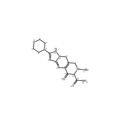 CCCCN1CC2=C(N=C3N=C(N4CCOCC4)NN3C2)C(=O)C1C(N)=S